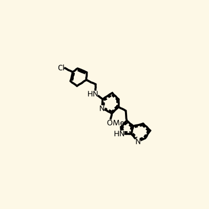 COc1nc(NCC2C=CC(Cl)=CC2)ccc1Cc1c[nH]c2ncccc12